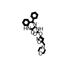 O=C(N[C@H]1N=C(c2ccccc2)c2ccccc2NC1=O)Oc1cc(CN2CCOCC2)on1